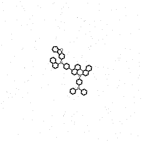 c1ccc(N(c2ccccc2)c2ccc(N3c4ccc5ccccc5c4-c4cccc5c(-c6ccc(N(c7ccc8oc9ccccc9c8c7)c7cccc8ccccc78)cc6)ccc3c45)cc2)cc1